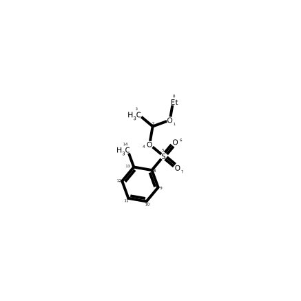 CCOC(C)OS(=O)(=O)c1ccccc1C